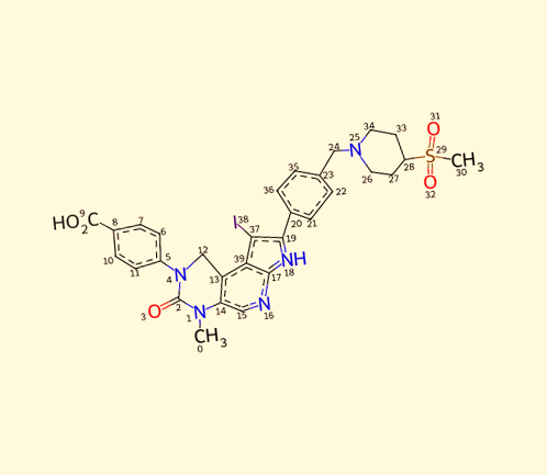 CN1C(=O)N(c2ccc(C(=O)O)cc2)Cc2c1cnc1[nH]c(-c3ccc(CN4CCC(S(C)(=O)=O)CC4)cc3)c(I)c21